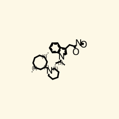 C[C@@H]1CCC[C@H](C)C[C@H](N2CCCC[C@H]2C[C@H](C)n2cc(CC(=O)N=O)c3ccccc32)C1